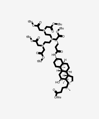 COC(=O)CC[C@@H](C)[C@H]1CC[C@H]2[C@@H]3CC[C@@H]4C[C@@H](NC(=O)CC[C@@H](C(=O)OC(C)(C)C)N(CCN(CC(=O)OC(C)(C)C)CC(=O)OC(C)(C)C)CCN(CC(=O)OC(C)(C)C)CC(=O)OC(C)(C)C)CC[C@]4(C)[C@H]3C[C@H](O)[C@]12C